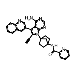 C#Cc1c(-c2cnc3ccccc3c2)c2c(N)ncnc2n1C12CCC(NC(=O)c3ccccn3)(CC1)C2